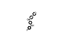 O=C([C@H]1CC[C@H](Nc2ccc(F)cc2)CC1)N1CCN(C2CCOCC2)CC1